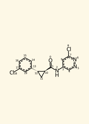 O=C(Nc1cnnc(Cl)c1)[C@H]1C[C@@H]1c1cccc(Cl)c1